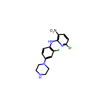 O=[N+]([O-])c1ccc(Br)nc1Nc1ccc(N2CCNCC2)cc1F